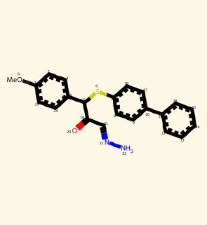 COc1ccc(C(Sc2ccc(-c3ccccc3)cc2)C(=O)C=NN)cc1